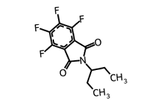 CCC(CC)N1C(=O)c2c(F)c(F)c(F)c(F)c2C1=O